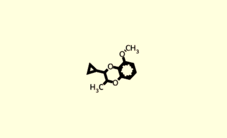 COc1cccc2c1OC(C1CC1)C(C)O2